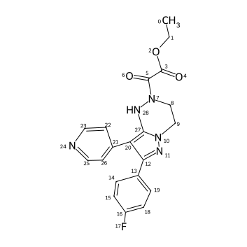 CCOC(=O)C(=O)N1CCn2nc(-c3ccc(F)cc3)c(-c3ccncc3)c2N1